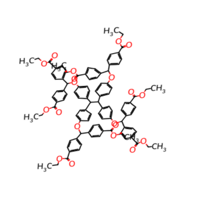 CCOC(=O)c1ccc(C(Oc2ccc(C(c3ccc(OC(c4ccc(C(=O)OCC)cc4)c4ccc(C(=O)OCC)cc4)cc3)C(c3ccc(OC(c4ccc(C(=O)OCC)cc4)c4ccc(C(=O)OCC)cc4)cc3)c3ccc(OC(c4ccc(C(=O)OCC)cc4)c4ccc(C(=O)OCC)cc4)cc3)cc2)c2ccc(C(=O)OCC)cc2)cc1